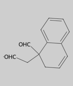 O=[C]CC1(C=O)CC=Cc2ccccc21